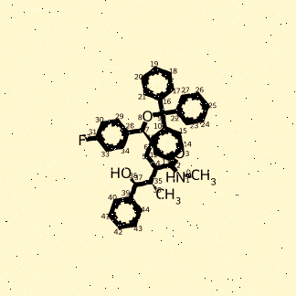 CNC(=O)C(CC[C@H](OC(c1ccccc1)(c1ccccc1)c1ccccc1)c1ccc(F)cc1)[C@H](C)[C@H](O)c1ccccc1